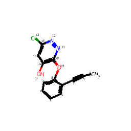 CC#Cc1ccccc1Oc1nnc(Cl)cc1O